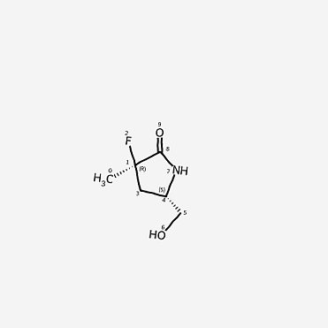 C[C@@]1(F)C[C@@H](CO)NC1=O